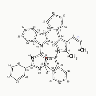 C/C=C\c1c(C)n(C2=CCCCC2)c2c1c1ccccc1c1c3ccccc3n(-c3nc(-c4ccccc4)nc(C4C=CC=CC4)n3)c12